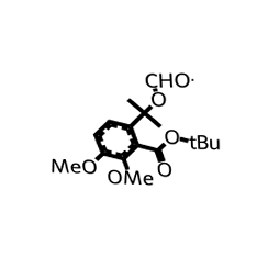 COc1ccc(C(C)(C)O[C]=O)c(C(=O)OC(C)(C)C)c1OC